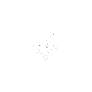 CC(C)n1c(C(c2ccc(F)cc2)[P+](c2ccccc2)(c2ccccc2)c2ccccc2)cc2c1C(=O)N(c1ccccc1)Cc1ccccc1-2.[Br-]